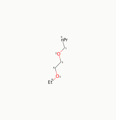 [CH2]CCCOCCOCC